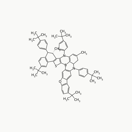 CC1=CC2=C3B(c4cc5oc6ccc(C(C)(C)C)cc6c5cc4N(c4ccc(C(C)(C)C)cc4)C3C1)c1sc3c(c1N2c1ccc(C(C)(C)C)cc1)[C@@H](C)C(c1ccc(C(C)(C)C)cc1)c1ccc(C(C)(C)C)cc1-3